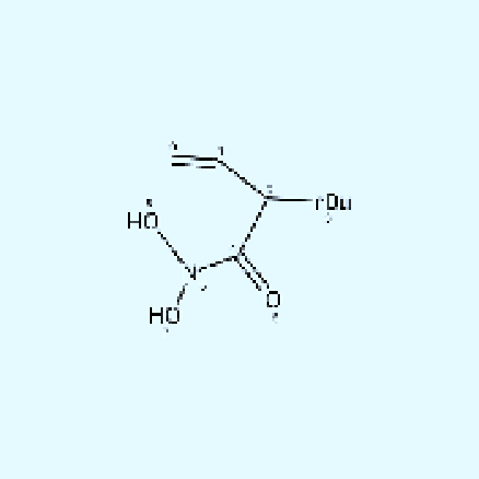 C=CC(CCCC)C(=O)N(O)O